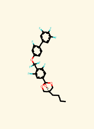 CCCCC12COC(c3cc(F)c(C(F)(F)Oc4ccc(-c5cc(F)c(F)c(F)c5)c(F)c4)c(F)c3)(OC1)OC2